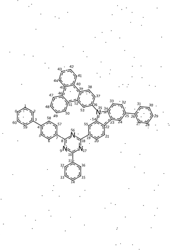 c1ccc(-c2ccc(-c3nc(-c4ccccc4)nc(-c4ccc5c6cc(-c7ccccc7)ccc6n(-c6ccc7c8ccccc8c8ccccc8c7c6)c5c4)n3)cc2)cc1